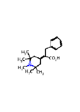 CN1C(C)(C)CC(=C(Cc2ccccc2)C(=O)O)CC1(C)C